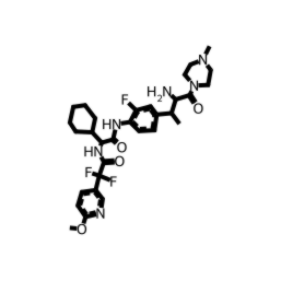 COc1ccc(C(F)(F)C(=O)NC(C(=O)Nc2ccc(C(C)C(N)C(=O)N3CCN(C)CC3)cc2F)C2CCCCC2)cn1